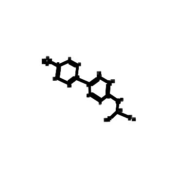 Nc1ccc(-c2ccc(OC(F)F)nn2)cc1